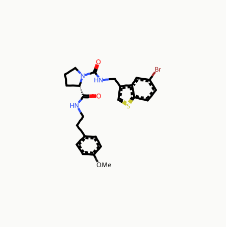 COc1ccc(CCNC(=O)[C@@H]2CCCN2C(=O)NCc2csc3ccc(Br)cc23)cc1